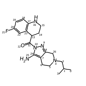 CC(C)CN1CCc2c(nn(C(=O)C3CCNc4ccc(F)cc43)c2N)C1